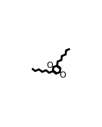 CCCCCCC1=CC(=O)C=C(CCCCCC)C1=O